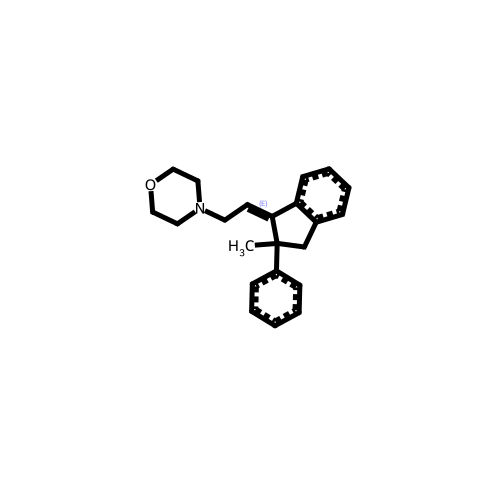 CC1(c2ccccc2)Cc2ccccc2/C1=C/CN1CCOCC1